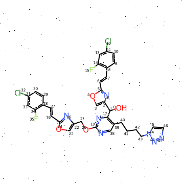 OC(c1coc(C=Cc2ccc(Cl)cc2F)n1)c1nc(OCc2coc(C=Cc3ccc(Cl)cc3F)n2)ncc1CCCCn1ccnn1